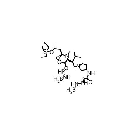 BNPOC(=O)N[C@H]1CCN(C/C(=C(\C(=O)OPNB)N(C)C(=O)C[C@@H](C)O[Si](CC)(CC)CC)C(C)C)C1